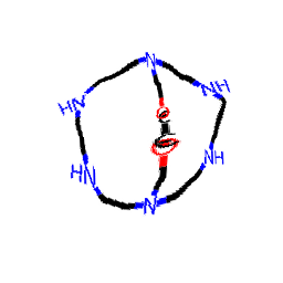 C1CNCCN2CCNCCNCCN(CCN1)CCOCCOCC2